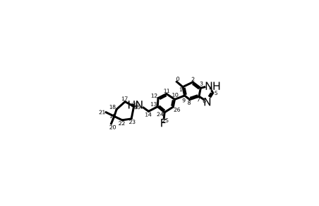 Cc1cc2[nH]cnc2cc1-c1ccc(CNC2CCC(C)(C)CC2)c(F)c1